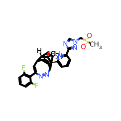 CC1(C)[C@H]2CC[C@]1(c1cccc(-c3ncn(CS(C)(=O)=O)n3)n1)C1C#CC2/C=C(c2c(F)cccc2F)\N=N/1